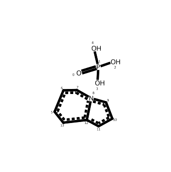 O=P(O)(O)O.c1ccn2cccc2c1